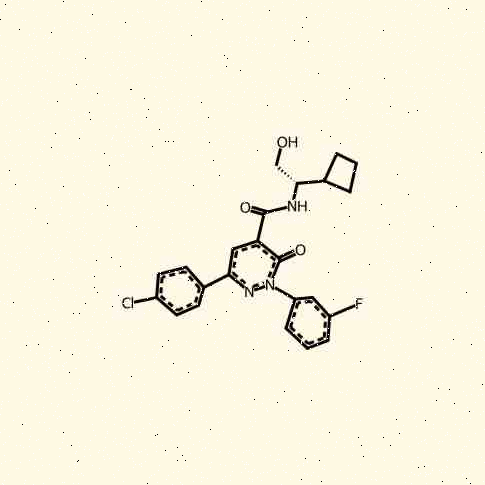 O=C(N[C@H](CO)C1CCC1)c1cc(-c2ccc(Cl)cc2)nn(-c2cccc(F)c2)c1=O